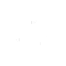 CC(O)C1(c2ccc(Cl)cc2F)CC1